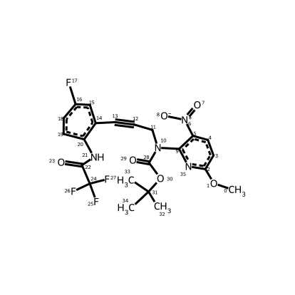 COc1ccc([N+](=O)[O-])c(N(CC#Cc2cc(F)ccc2NC(=O)C(F)(F)F)C(=O)OC(C)(C)C)n1